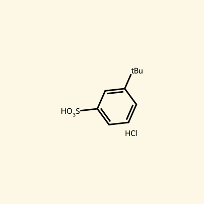 CC(C)(C)c1cccc(S(=O)(=O)O)c1.Cl